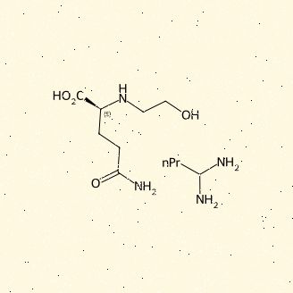 CCCC(N)N.NC(=O)CC[C@H](NCCO)C(=O)O